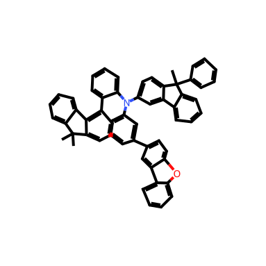 CC1(C)c2ccccc2-c2c(-c3ccccc3N(c3cccc(-c4ccc5oc6ccccc6c5c4)c3)c3ccc4c(c3)-c3ccccc3C4(C)c3ccccc3)cccc21